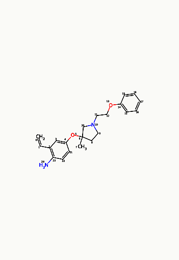 C=Cc1cc(OC2(C)CCN(CCOc3ccccc3)C2)ccc1N